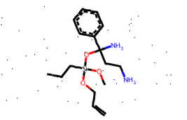 C=CCO[Si](CCC)(OC)OC(N)(CCN)c1ccccc1